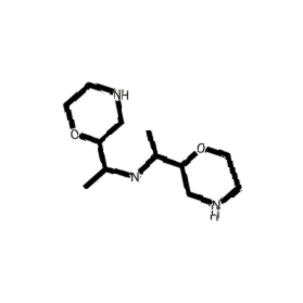 CC([N]C(C)C1CNCCO1)C1CNCCO1